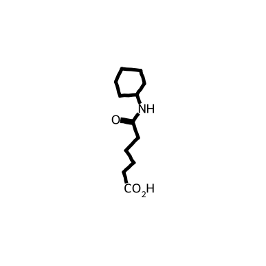 O=C(O)CCCCC(=O)NC1CCCCC1